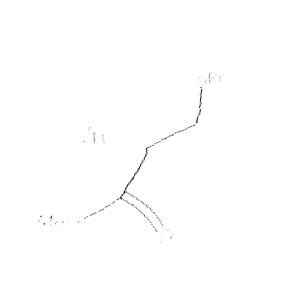 CCCCCC(=O)OC.[Zn]